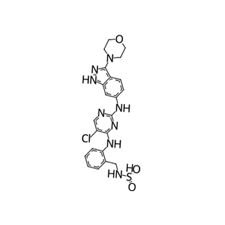 O=[SH](=O)NCc1ccccc1Nc1nc(Nc2ccc3c(N4CCOCC4)n[nH]c3c2)ncc1Cl